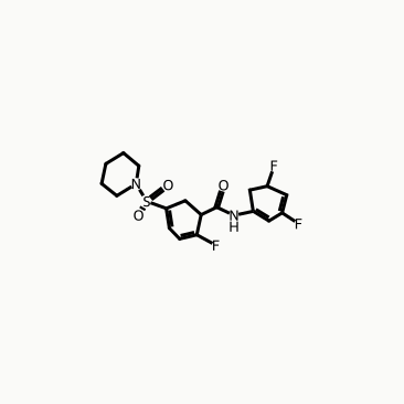 O=C(NC1=CC(F)=CC(F)C1)C1CC(S(=O)(=O)N2CCCCC2)=CC=C1F